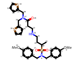 COc1ccc(CN(Cc2ccc(OC)cc2)S(=O)(=O)C(C)CCNCCC(=O)N(Cc2cccs2)Cc2cccs2)cc1